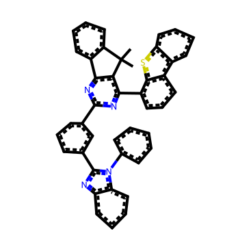 CC1(C)c2ccccc2-c2nc(-c3cccc(-c4nc5ccccc5n4-c4ccccc4)c3)nc(-c3cccc4c3sc3ccccc34)c21